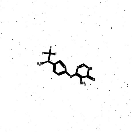 Nc1c(Oc2ccc([C@@H](N)C(F)(F)F)cc2)nc[nH]c1=O